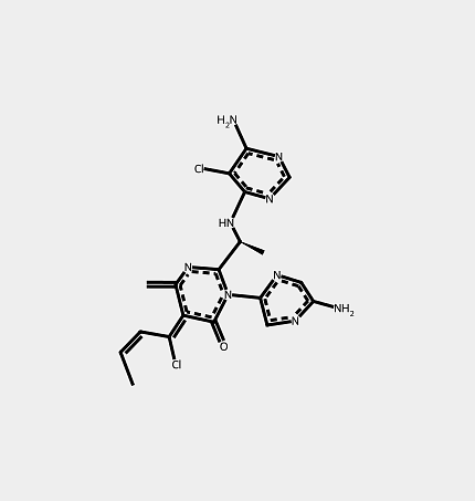 C=c1nc([C@H](C)Nc2ncnc(N)c2Cl)n(-c2cnc(N)cn2)c(=O)/c1=C(Cl)/C=C\C